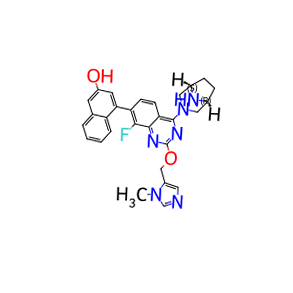 Cn1cncc1COc1nc(N2C[C@H]3CC[C@@H](C2)N3)c2ccc(-c3cc(O)cc4ccccc34)c(F)c2n1